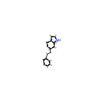 c1ccc(CCc2ccc3cc[nH]c3c2)cc1